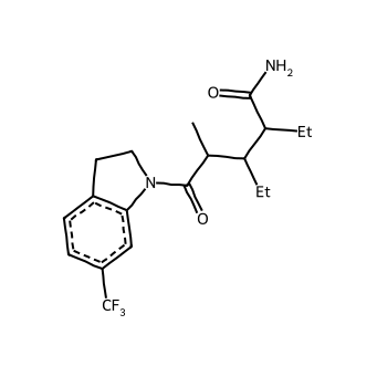 CCC(C(N)=O)C(CC)C(C)C(=O)N1CCc2ccc(C(F)(F)F)cc21